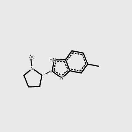 CC(=O)N1CCC[C@H]1c1nc2cc(C)ccc2[nH]1